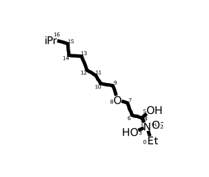 CC[N+]([O-])(O)C(O)CCOCCCCCCCC(C)C